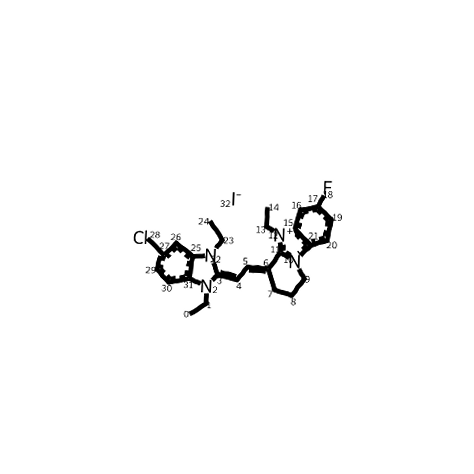 CCN1C(=CC=C2CCCn3c2[n+](CC)c2cc(F)ccc23)N(CC)c2cc(Cl)ccc21.[I-]